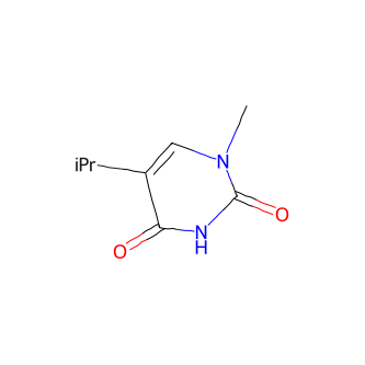 CC(C)c1cn(C)c(=O)[nH]c1=O